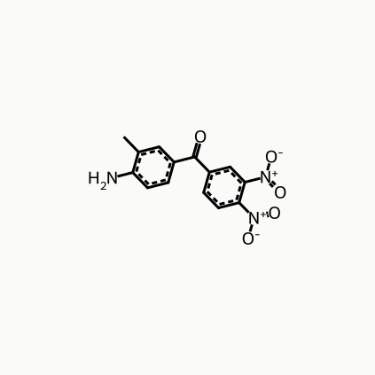 Cc1cc(C(=O)c2ccc([N+](=O)[O-])c([N+](=O)[O-])c2)ccc1N